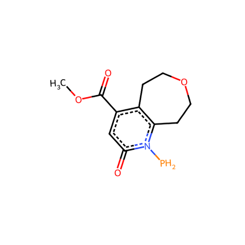 COC(=O)c1cc(=O)n(P)c2c1CCOCC2